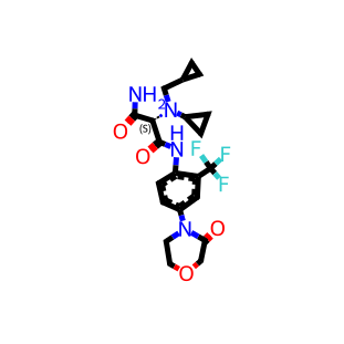 NC(=O)[C@@H](C(=O)Nc1ccc(N2CCOCC2=O)cc1C(F)(F)F)N(CC1CC1)C1CC1